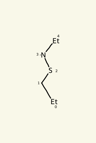 CCCS[N]CC